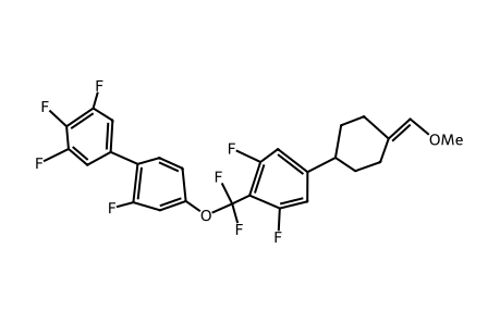 COC=C1CCC(c2cc(F)c(C(F)(F)Oc3ccc(-c4cc(F)c(F)c(F)c4)c(F)c3)c(F)c2)CC1